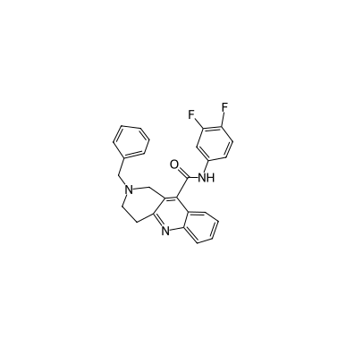 O=C(Nc1ccc(F)c(F)c1)c1c2c(nc3ccccc13)CCN(Cc1ccccc1)C2